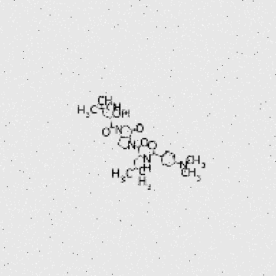 CC(C)CC(NC(=O)c1ccc(N(C)C)cc1)C(=O)N1CCC2C1C(=O)CN2C(=O)C(O)CC(C)(C)C